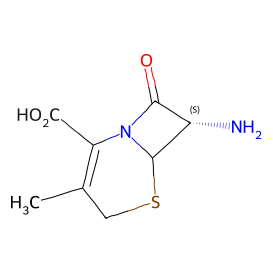 CC1=C(C(=O)O)N2C(=O)[C@H](N)C2SC1